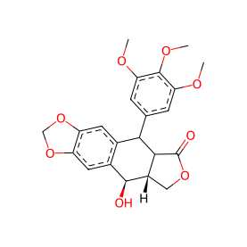 COc1cc(C2c3cc4c(cc3[C@H](O)[C@H]3COC(=O)C23)OCO4)cc(OC)c1OC